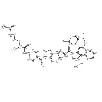 C=C(Oc1cc2c(c3ccccc13)[C@H](CCl)CN2C(=O)c1cc2c3c(ccc2[nH]1)N(C(=O)c1ccc(NC(=O)[C@@H](N)CCCNC(N)=O)cc1)CC3)N1CCN(C)CC1